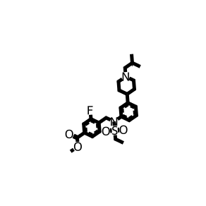 CCS(=O)(=O)N(Cc1ccc(C(=O)OC)cc1F)c1cccc(C2CCN(C[C](C)C)CC2)c1